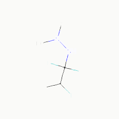 CCN(CC)NC(F)(F)C(F)C(F)(F)F